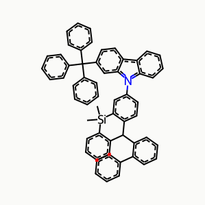 C[Si]1(C)c2ccccc2C(c2ccccc2-c2ccccc2)c2ccc(-n3c4ccccc4c4ccc(C(c5ccccc5)(c5ccccc5)c5ccccc5)cc43)cc21